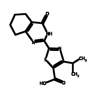 CC(C)c1nc(-c2nc3c(c(=O)[nH]2)CCCC3)sc1C(=O)O